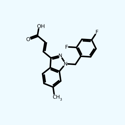 Cc1ccc2c(C=CC(=O)O)nn(Cc3ccc(F)cc3F)c2c1